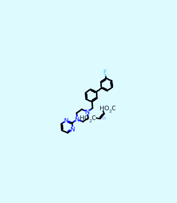 Fc1cccc(-c2cccc(CN3CCN(c4ncccn4)CC3)c2)c1.O=C(O)/C=C\C(=O)O